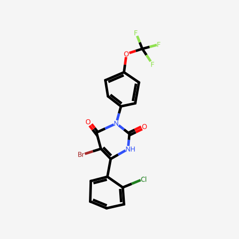 O=c1[nH]c(-c2ccccc2Cl)c(Br)c(=O)n1-c1ccc(OC(F)(F)F)cc1